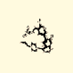 CC=CN1CCN(c2ncnc3cc(Cl)c(-c4cnc(OC)c(CN[SH](=O)=O)c4)cc23)CC1